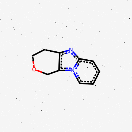 c1ccn2c3c(nc2c1)CCOC3